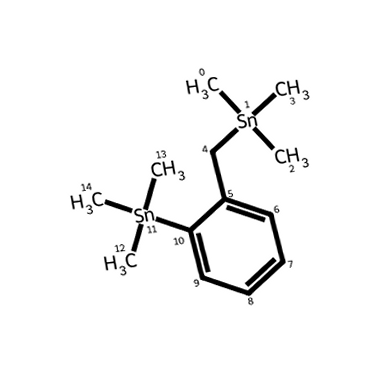 [CH3][Sn]([CH3])([CH3])[CH2]c1cccc[c]1[Sn]([CH3])([CH3])[CH3]